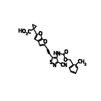 Cc1ccccc1COC(=O)Nc1c(C#N)nsc1C#Cc1cc2cc(C3(C(=O)O)CC3)oc2o1